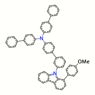 COc1ccc(-c2cccc3c4ccccc4n(-c4cccc(-c5ccc(N(c6ccc(-c7ccccc7)cc6)c6ccc(-c7ccccc7)cc6)cc5)c4)c23)cc1